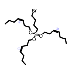 CCC/C=C\CCO[Si](CCCCBr)(OCC/C=C\CCC)OCC/C=C\CCC